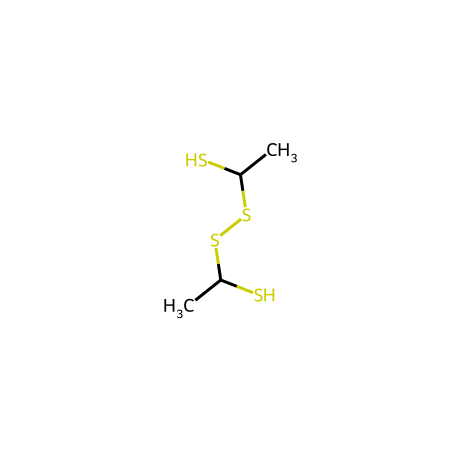 CC(S)SSC(C)S